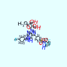 C[C@H]1O[C@@H](n2nc(-c3ccc(S(=O)(=O)NC(=O)C(F)(F)F)cc3)c3c2N=CN(Nc2ccc(F)cc2)C3)[C@H](O)[C@@H]1O